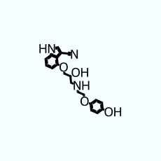 N#Cc1c[nH]c2cccc(OCC(O)CNCCOc3ccc(O)cc3)c12